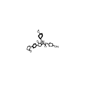 COc1ccc(-n2nc(C(=O)NC3CCC(O)CC3)c3c2C(=O)N(c2ccc(N4CCCCC4=O)cc2)CC3)cc1